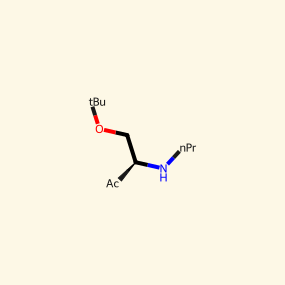 CCCN[C@H](COC(C)(C)C)C(C)=O